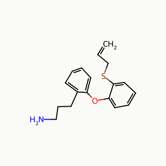 C=CCSc1ccccc1Oc1ccccc1CCCN